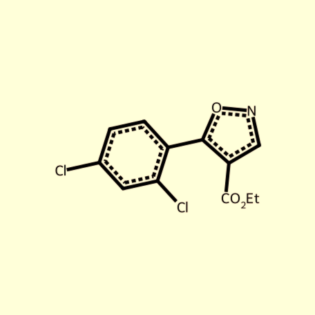 CCOC(=O)c1cnoc1-c1ccc(Cl)cc1Cl